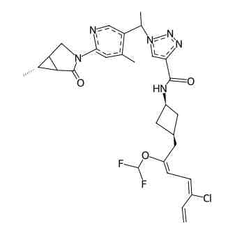 C=C/C(Cl)=C\C=C(/C[C@H]1C[C@@H](NC(=O)c2cn(C(C)c3cnc(N4CC5C(C4=O)[C@@H]5C)cc3C)nn2)C1)OC(F)F